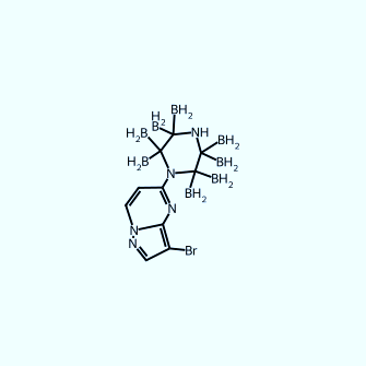 BC1(B)NC(B)(B)C(B)(B)N(c2ccn3ncc(Br)c3n2)C1(B)B